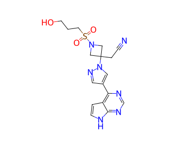 N#CCC1(n2cc(-c3ncnc4[nH]ccc34)cn2)CN(S(=O)(=O)CCCO)C1